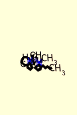 C#CC1=C2B(c3cccc4c3N1CCCCCCC4)c1cccc(CCCCC)c1N(CCC)/C2=C/C